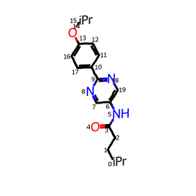 CC(C)CCC(=O)Nc1cnc(-c2ccc(OC(C)C)cc2)nc1